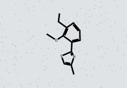 CCc1cccc(-c2nc(C)cs2)c1OC